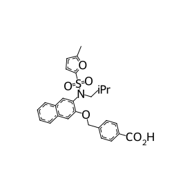 Cc1ccc(S(=O)(=O)N(CC(C)C)c2cc3ccccc3cc2OCc2ccc(C(=O)O)cc2)o1